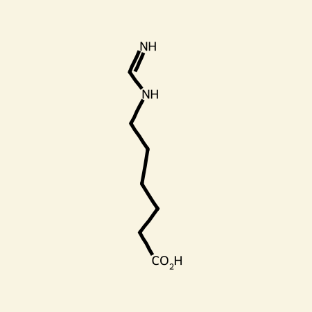 N=CNCCCCCC(=O)O